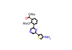 COC(=O)c1cccc(-c2cncc(-c3cc(N)cs3)n2)c1OC